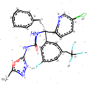 Cc1nnc(NC(=O)N[C@](Cc2ccccc2)(c2cc(F)cc(C(F)(F)F)c2)c2ccc(Cl)cn2)o1